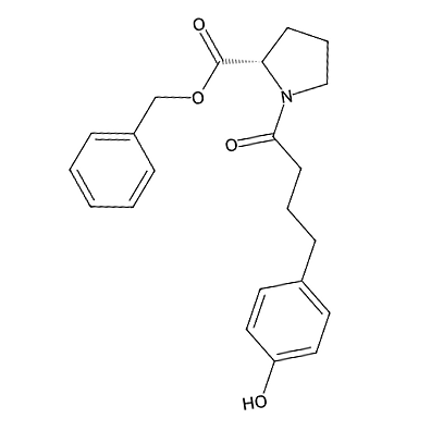 O=C(OCc1ccccc1)[C@@H]1CCCN1C(=O)CCCc1ccc(O)cc1